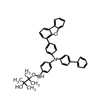 CC(C)(O)C(C)(C)OBc1ccc(N(c2ccc(-c3ccccc3)cc2)c2ccc(-c3cccc4c3oc3ccccc34)cc2)cc1